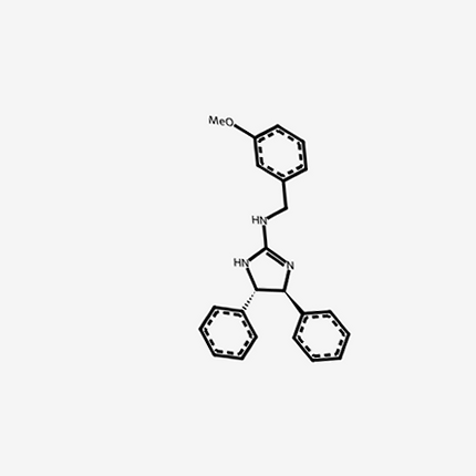 COc1cccc(CNC2=N[C@@H](c3ccccc3)[C@H](c3ccccc3)N2)c1